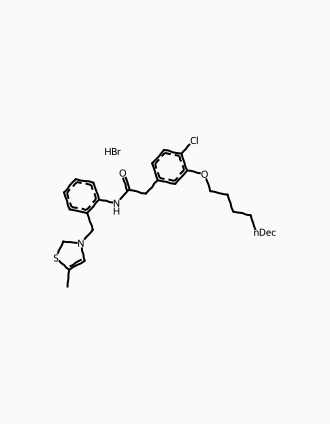 Br.CCCCCCCCCCCCCCOc1cc(CC(=O)Nc2ccccc2CN2C=C(C)SC2)ccc1Cl